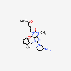 COC(=O)C=CCn1c(=O)c2c(nc(N3CCCC(N)C3)n2Cc2ccccc2C#N)n(C)c1=O